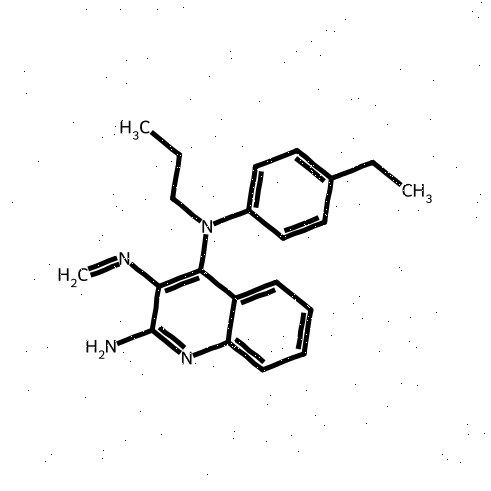 C=Nc1c(N)nc2ccccc2c1N(CCC)c1ccc(CC)cc1